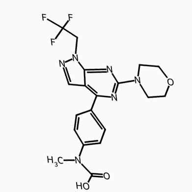 CN(C(=O)O)c1ccc(-c2nc(N3CCOCC3)nc3c2cnn3CC(F)(F)F)cc1